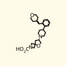 O=C(O)N1CC2(C[C@H](N3CCC(c4ccccc4C=C4CCOCC4)CC3)CO2)C1